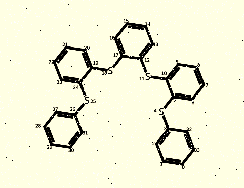 c1ccc(Sc2ccccc2Sc2ccccc2Sc2ccccc2Sc2ccccc2)cc1